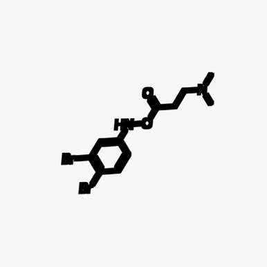 CN(C)CCC(=O)ONc1ccc(Br)c(Br)c1